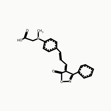 CN(CC(=O)O)c1ccc(/C=C/C=C2\C(=O)ON=C2c2ccccc2)cc1